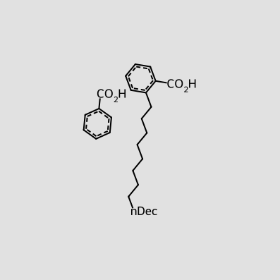 CCCCCCCCCCCCCCCCCCc1ccccc1C(=O)O.O=C(O)c1ccccc1